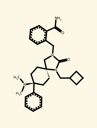 CN(C)[C@]1(c2ccccc2)CC[C@]2(CC1)CN(Cc1ccccc1C(N)=O)C(=O)N2CC1CCC1